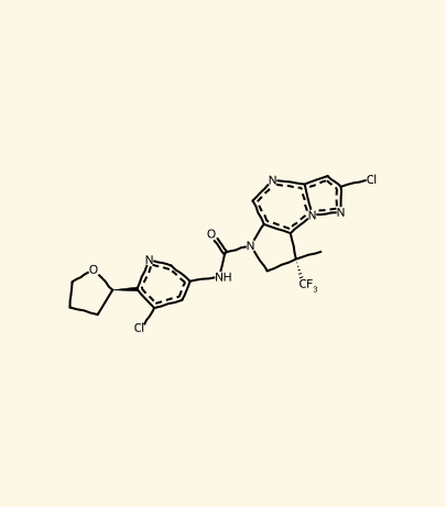 C[C@@]1(C(F)(F)F)CN(C(=O)Nc2cnc([C@H]3CCCO3)c(Cl)c2)c2cnc3cc(Cl)nn3c21